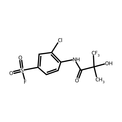 CC(O)(C(=O)Nc1ccc(S(=O)(=O)F)cc1Cl)C(F)(F)F